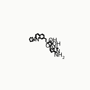 Nc1ncnc2c1ccn2[C@@H]1O[C@H](CCc2ccc3ccc(N4CCCC4)nc3c2)[C@@H](O)[C@H]1O